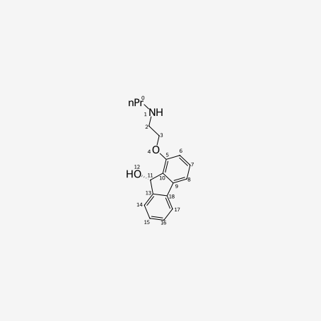 CCCNCCOc1cccc2c1[C@@H](O)c1ccccc1-2